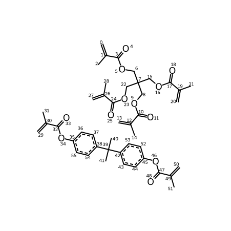 C=C(C)C(=O)OCC(COC(=O)C(=C)C)(COC(=O)C(=C)C)COC(=O)C(=C)C.C=C(C)C(=O)Oc1ccc(C(C)(C)c2ccc(OC(=O)C(=C)C)cc2)cc1